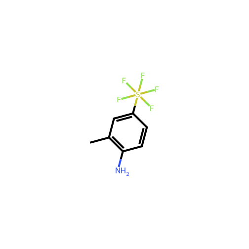 Cc1cc(S(F)(F)(F)(F)F)ccc1N